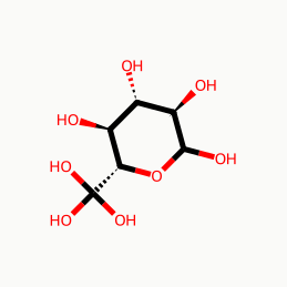 OC1O[C@H](C(O)(O)O)[C@@H](O)[C@H](O)[C@H]1O